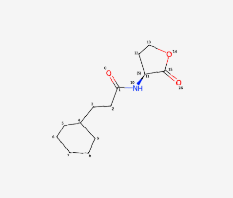 O=C(CCC1CCCCC1)N[C@H]1CCOC1=O